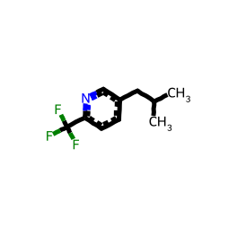 CC(C)Cc1ccc(C(F)(F)F)nc1